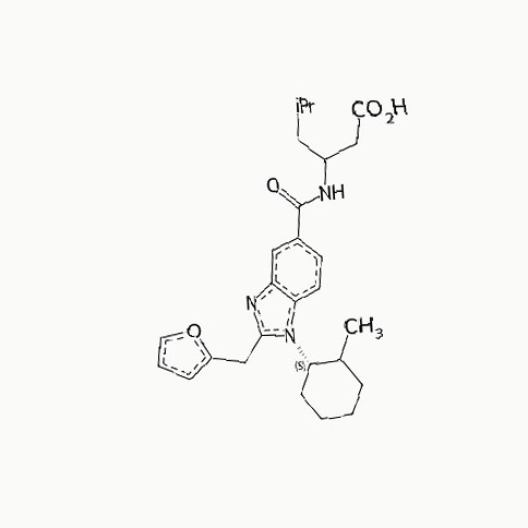 CC(C)CC(CC(=O)O)NC(=O)c1ccc2c(c1)nc(Cc1ccco1)n2[C@H]1CCCCC1C